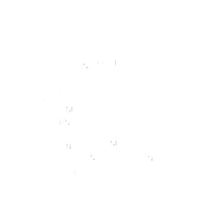 O=C(O)NC[C@@H](CC1CCCC1)C(=O)NNc1nc(Cl)nc(NCc2cscn2)c1F